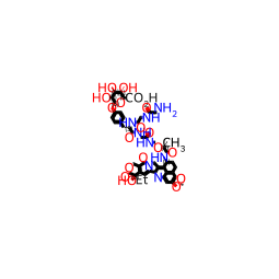 CC[C@@]1(O)C(=O)OCc2c1cc1n(c2=O)Cc2c-1nc1cc3c(c4c1c2[C@@H](NC(=O)[C@@H](C)OCNC(=O)CNC(=O)[C@H](Cc1ccc(O[C@@H]2O[C@H](C(=O)O)[C@@H](O)[C@H](O)[C@H]2O)cc1)NC(=O)CNC(=O)CN)CC4)OCO3